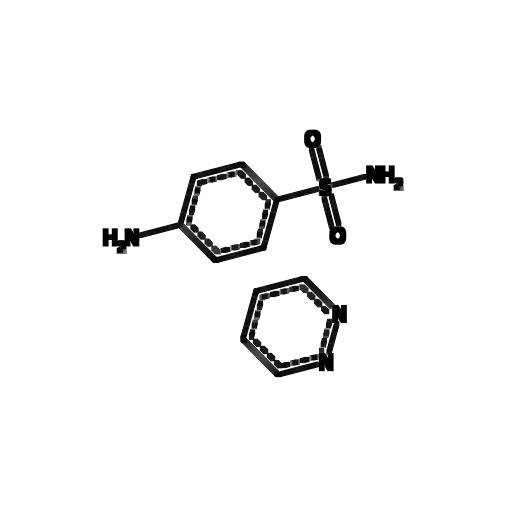 Nc1ccc(S(N)(=O)=O)cc1.c1ccnnc1